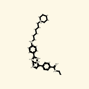 CCOC(=O)c1ccc(-c2cnc3sc(-c4ccc(OCCCCCCN5CCCCC5)cc4)nn23)cc1